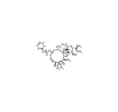 CO[C@]1(C)C[C@@H](C)CN(C)[C@@H](CCCN2CCOCC2)COC(=O)C(C)(C)C(=O)[C@H](C)[C@H]1O[C@@H]1O[C@H](C)C[C@H](N(C)C)[C@H]1O